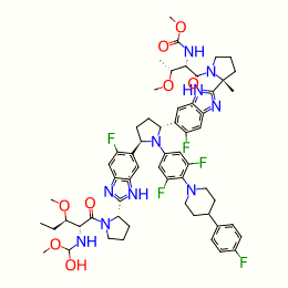 CC[C@@H](OC)[C@@H](NC(O)OC)C(=O)N1CCC[C@H]1c1nc2cc(F)c([C@H]3CC[C@H](c4cc5[nH]c([C@@]6(C)CCCN6C(=O)[C@@H](NC(=O)OC)[C@@H](C)OC)nc5cc4F)N3c3cc(F)c(N4CCC(c5ccc(F)cc5)CC4)c(F)c3)cc2[nH]1